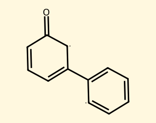 O=C1[CH]C(c2[c]cccc2)=CC=C1